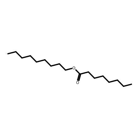 [CH2]CCCCCCCCOC(=O)CCCCCCC